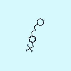 FC(F)(F)Oc1ccc(COCC2CC[N]CC2)cc1